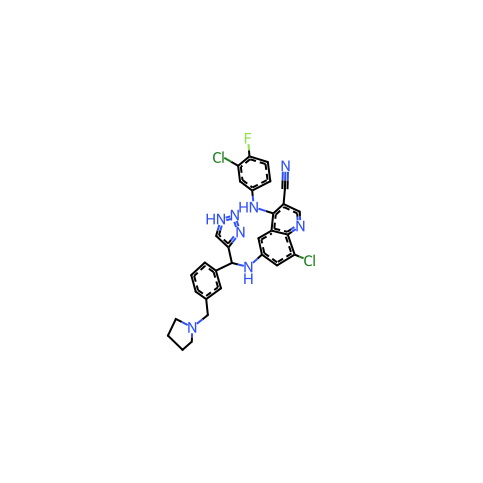 N#Cc1cnc2c(Cl)cc(NC(c3cccc(CN4CCCC4)c3)c3c[nH]nn3)cc2c1Nc1ccc(F)c(Cl)c1